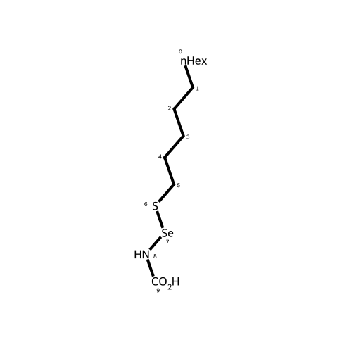 CCCCCCCCCCCS[Se]NC(=O)O